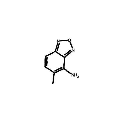 Cc1ccc2nonc2c1N